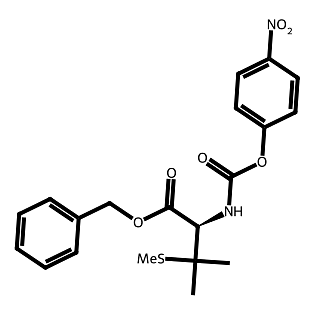 CSC(C)(C)[C@H](NC(=O)Oc1ccc([N+](=O)[O-])cc1)C(=O)OCc1ccccc1